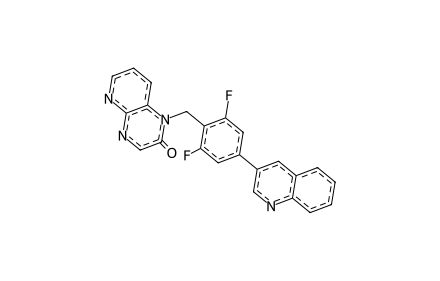 O=c1cnc2ncccc2n1Cc1c(F)cc(-c2cnc3ccccc3c2)cc1F